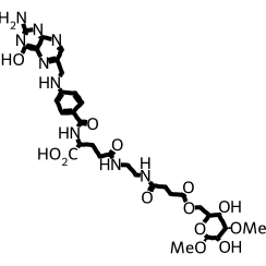 CO[C@H]1OC(COC(=O)CCC(=O)NCCNC(=O)CCC(NC(=O)c2ccc(NCc3cnc4nc(N)nc(O)c4n3)cc2)C(=O)O)[C@@H](O)[C@H](OC)C1O